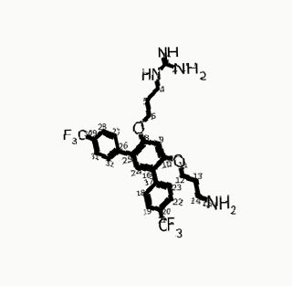 N=C(N)NCCCOc1cc(OCCCN)c(-c2ccc(C(F)(F)F)cc2)cc1-c1ccc(C(F)(F)F)cc1